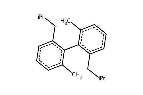 Cc1cccc(CC(C)C)c1-c1c(C)cccc1CC(C)C